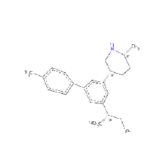 CC(C)C[C@H](C(=O)O)c1cc(-c2ccc(C(F)(F)F)cc2)cc([C@H]2CC[C@@H](C(F)(F)F)NC2)c1